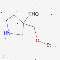 CCOCC1(C=O)CCNC1